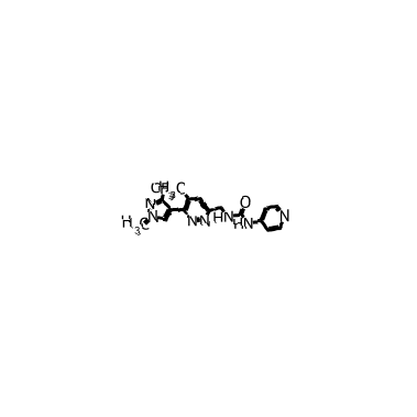 Cc1cc(CNC(=O)Nc2ccncc2)nnc1-c1cn(C)nc1C(F)(F)F